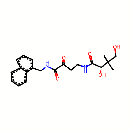 CC(C)(CO)[C@@H](O)C(=O)NCCC(=O)C(=O)NCc1cccc2ccccc12